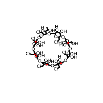 CC(O)C(O)C1OC2OC(CCl)C(OC3OC(CO)C(OC4OC(CCl)C(OC5OC(CCl)C(OC6OC(CCl)C(OC7OC(CCl)C(OC8OC(CCl)C(OOC1CCl)C(O)C8O)C(O)C7O)C(O)C6O)C(O)C5O)C(O)C4O)C(O)C3O)C(O)C2O